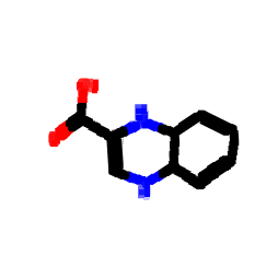 O=C(O)C1=CNC2C=CC=CC2N1